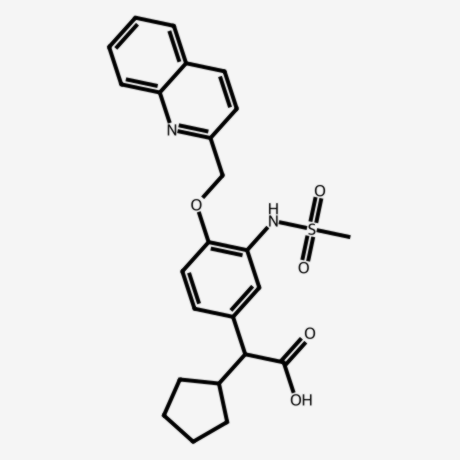 CS(=O)(=O)Nc1cc(C(C(=O)O)C2CCCC2)ccc1OCc1ccc2ccccc2n1